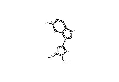 O=C(O)c1sc(-n2cnc3ccc(Br)cc32)cc1O